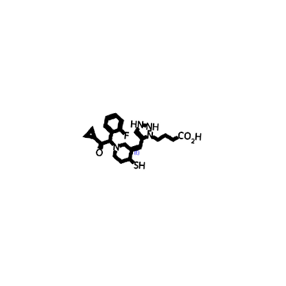 O=C(O)CCCN1NNC=C1/C=C1\CN(C(C(=O)C2CC2)c2ccccc2F)CCC1S